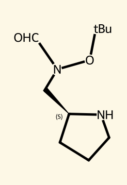 CC(C)(C)ON(C=O)C[C@@H]1CCCN1